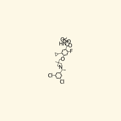 C[C@@H](c1cc(Cl)cc(Cl)c1)N1CC(C)(COc2cc(F)c(C(=O)NS(C)(=O)=O)cc2C2CC2)C1